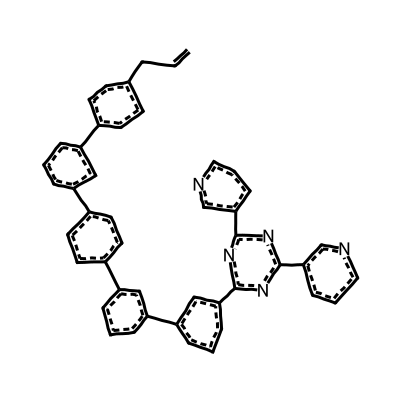 C=CCc1ccc(-c2cccc(-c3ccc(-c4cccc(-c5cccc(-c6nc(-c7cccnc7)nc(-c7cccnc7)n6)c5)c4)cc3)c2)cc1